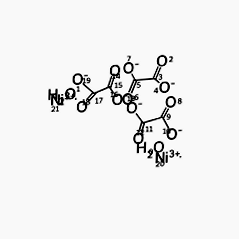 O.O.O=C([O-])C(=O)[O-].O=C([O-])C(=O)[O-].O=C([O-])C(=O)[O-].[Ni+3].[Ni+3]